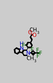 COC(=O)/C=C/c1cc(F)c([C@@H]2c3[nH]c4ccccc4c3C[C@@H](C)N2C23CC(C(F)(F)F)(C2)C3)c(F)c1